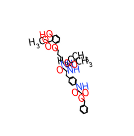 COC(=O)c1c(O)cccc1OCCCCNC(=O)[C@H](Cc1ccc(NC(=O)C(=O)OCc2ccccc2)cc1)NC(=O)OC(C)(C)C